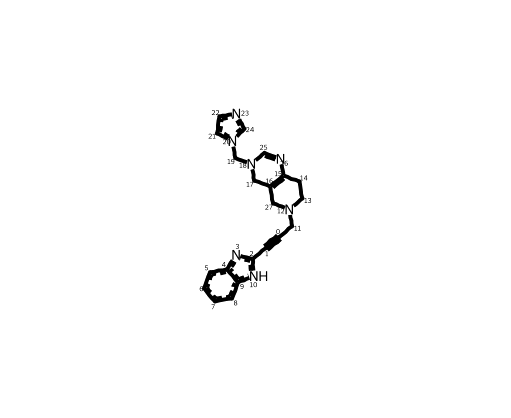 C(#Cc1nc2ccccc2[nH]1)CN1CCC2=C(CN(Cn3ccnc3)C=N2)C1